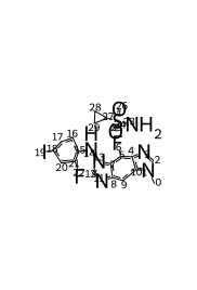 Cn1cnc2c(F)c3c(cc21)ncn3Nc1ccc(I)cc1F.NS(=O)(=O)C1CC1